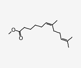 COC(=O)CCCCC=C(C)CCC=C(C)C